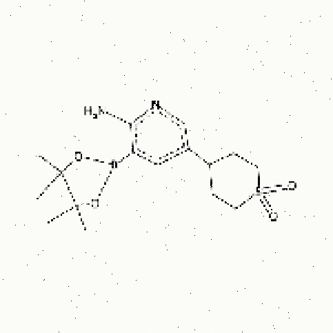 CC1(C)OB(c2cc(C3CCS(=O)(=O)CC3)cnc2N)OC1(C)C